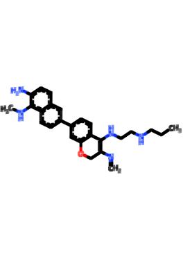 C=NC1=C(NCCNCCC)c2ccc(-c3ccc4c(NC)c(N)ccc4c3)cc2OC1